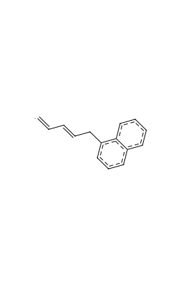 [CH]=CC=CCc1cccc2ccccc12